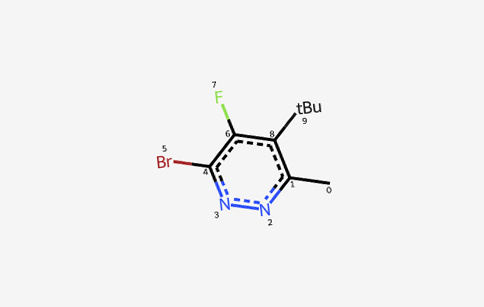 Cc1nnc(Br)c(F)c1C(C)(C)C